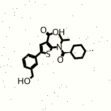 CC(C)N(c1sc(-c2cccc(CO)c2)cc1C(=O)O)C(=O)[C@H]1CC[C@H](C)CC1